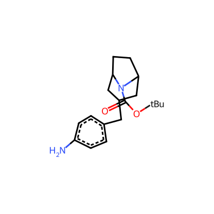 CC(C)(C)OC(=O)N1C2CCC1CC(Cc1ccc(N)cc1)C2